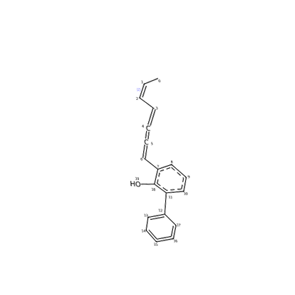 C/C=C\C=C=C=Cc1cccc(C2=CC=C=C=C2)c1O